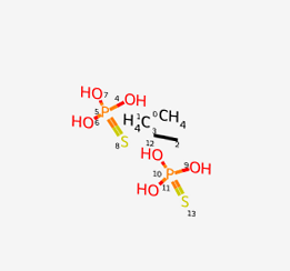 C.C.CC.OP(O)(O)=S.OP(O)(O)=S